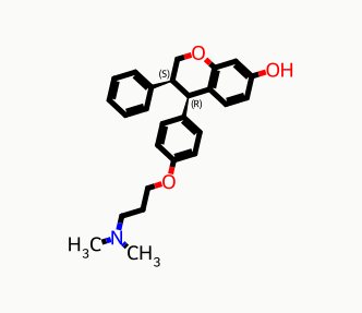 CN(C)CCCOc1ccc([C@@H]2c3ccc(O)cc3OC[C@@H]2c2ccccc2)cc1